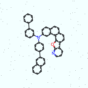 c1ccc(-c2cccc(N(c3ccc(-c4ccc5ccccc5c4)cc3)c3ccc4ccc5ccc6c7cccnc7oc6c5c4c3)c2)cc1